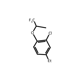 CCc1ccc(OC(C)C(F)(F)F)c(Cl)c1